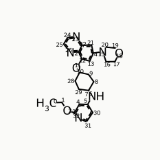 CCOc1cc(N[C@H]2CC[C@@H](Oc3cc(N4CCOCC4)cc4nccnc34)CC2)ccn1